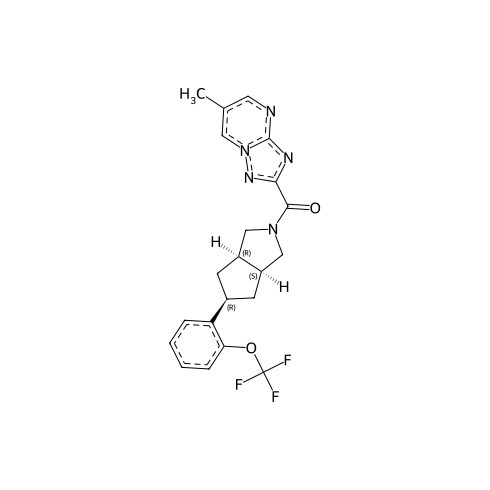 Cc1cnc2nc(C(=O)N3C[C@H]4C[C@@H](c5ccccc5OC(F)(F)F)C[C@H]4C3)nn2c1